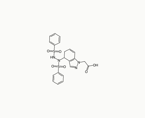 O=C(O)Cn1ncc2c1C=CCC2N(NS(=O)(=O)c1ccccc1)S(=O)(=O)c1ccccc1